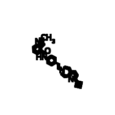 Cn1cc2c(C(=O)N[C@H]3CC[C@H](CCN4CCc5ccc(C6CCC6)nc5CC4)CC3)cccc2n1